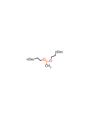 CCCCCCCCCCCCOP(C)OCCCCCCCCCCCC